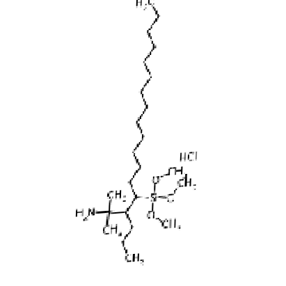 CCCCCCCCCCCCCC(C(CCC)C(C)(C)N)[Si](OC)(OC)OC.Cl